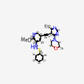 CCc1ncnc(N2CCOCC2)c1C#Cc1cnc(OC)c(NSc2ccccc2)c1